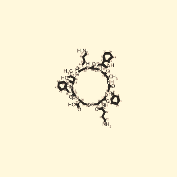 C[C@@H]1NC(=O)[C@H](Cc2ccccc2)NC(=O)[C@@H](NC(=O)CCCN)CSSC[C@@H](C(=O)O)NC(=O)[C@H](Cc2ccccc2)NC(=O)[C@H]([C@@H](C)O)NC(=O)[C@H](CCCCN)NC(=O)[C@H](Cc2c[nH]c3ccccc23)NC1=O